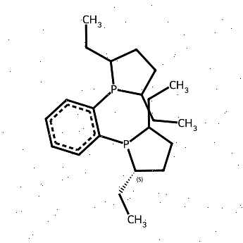 CCC1CCC(CC)P1c1ccccc1P1C(CC)CC[C@@H]1CC